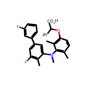 Cc1ccc(OC(C(=O)O)C(C)C)c(C)c1N(C)c1cc(-c2cccc(F)c2)cc(F)c1C